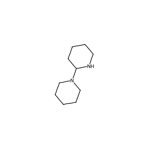 [CH]1CCNC(N2CCCCC2)C1